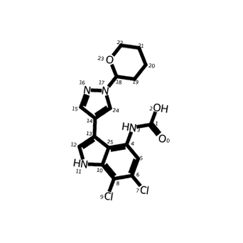 O=C(O)Nc1cc(Cl)c(Cl)c2[nH]cc(-c3cnn(C4CCCCO4)c3)c12